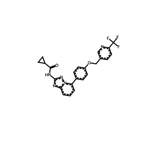 O=C(Nc1nc2cccc(-c3ccc(OCc4ccc(C(F)(F)F)nc4)cc3)n2n1)C1CC1